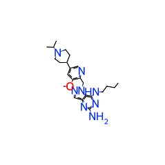 CCCCNc1nc(N)nc2cnn(Cc3ncc(C4CCN(C(C)C)CC4)cc3OC)c12